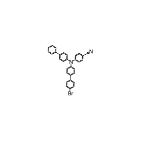 N#Cc1ccc(N(c2ccc(-c3ccccc3)cc2)c2ccc(-c3ccc(Br)cc3)cc2)cc1